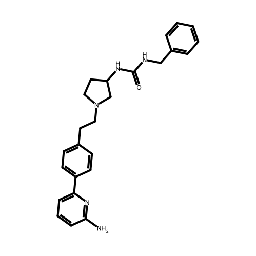 Nc1cccc(-c2ccc(CCN3CCC(NC(=O)NCc4ccccc4)C3)cc2)n1